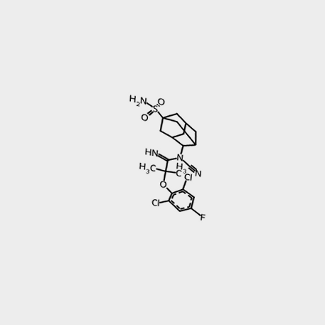 CC(C)(Oc1c(Cl)cc(F)cc1Cl)C(=N)N(C#N)C1C2CC3CC1CC(S(N)(=O)=O)(C3)C2